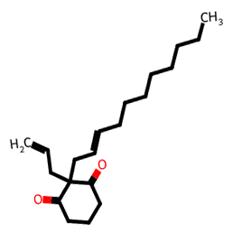 C=CCC1(C/C=C/CCCCCCCC)C(=O)CCCC1=O